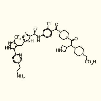 NCCc1ccc(-c2[nH]nc(C(F)(F)F)c2Cc2cnc(C(=O)Nc3ccc(C(=O)N4CCN(C(=O)C(C5CCN(CC(=O)O)CC5)C5CNC5)CC4)c(Cl)c3)[nH]2)nc1